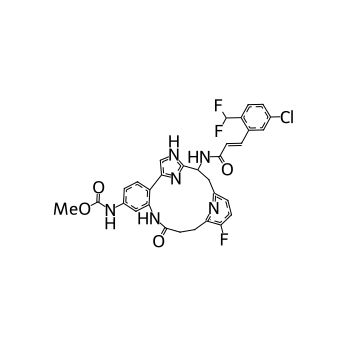 COC(=O)Nc1ccc2c(c1)NC(=O)CCc1nc(ccc1F)CC(NC(=O)/C=C/c1cc(Cl)ccc1C(F)F)c1nc-2c[nH]1